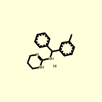 Cc1cccc(C(NC2=NCCCN2)c2ccccc2)c1.I